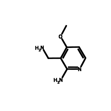 COc1ccnc(N)c1CN